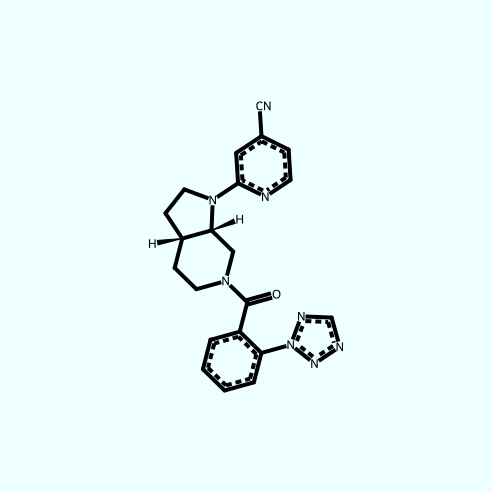 N#Cc1ccnc(N2CC[C@H]3CCN(C(=O)c4ccccc4-n4ncnn4)C[C@H]32)c1